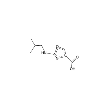 CC(C)CNc1nc(C(=O)O)co1